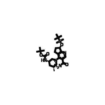 C[C@@H]1C[C@H](NC(=O)OC(C)(C)C)CN(c2c(C(N)=O)cnc3c2CC[C@H]3O[Si](C)(C)C(C)(C)C)C1